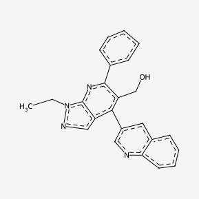 CCn1ncc2c(-c3cnc4ccccc4c3)c(CO)c(-c3ccccc3)nc21